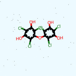 Oc1c(Cl)c(O)c(Cl)c(Oc2c(Cl)c(O)c(Cl)c(O)c2Cl)c1Cl